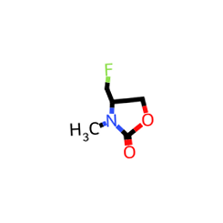 CN1C(=O)OCC1CF